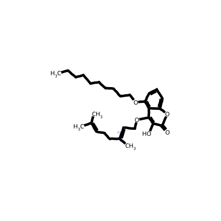 CCCCCCCCCCOc1cccc2oc(=O)c(O)c(OC/C=C(\C)CCC=C(C)C)c12